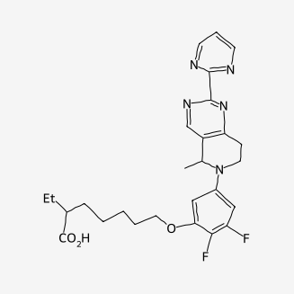 CCC(CCCCCOc1cc(N2CCc3nc(-c4ncccn4)ncc3C2C)cc(F)c1F)C(=O)O